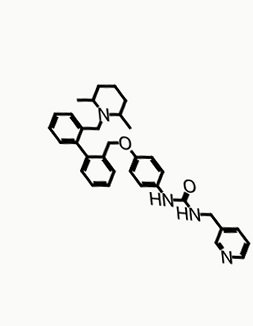 CC1CCCC(C)N1Cc1ccccc1-c1ccccc1COc1ccc(NC(=O)NCc2cccnc2)cc1